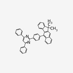 CC1(C)c2ccccc2-c2c1cc1ccccc1c2-c1ccc(-c2nc(-c3ccccc3)cc(-c3ccccc3)n2)cc1